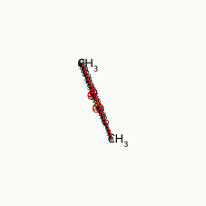 CCCCCCCCCCCCCCCCCCOC(=O)CCCSCCCC(=O)OCCCCCCCCCCCCCCCCCC